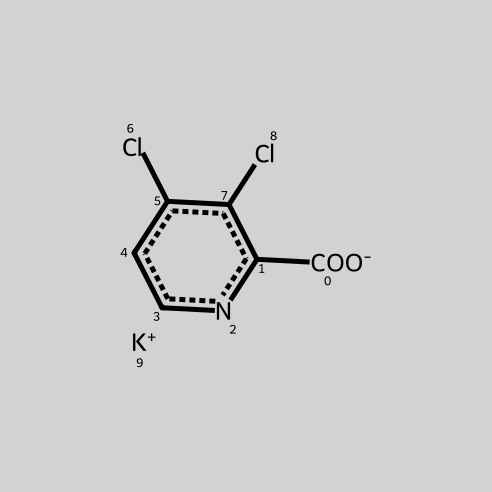 O=C([O-])c1nccc(Cl)c1Cl.[K+]